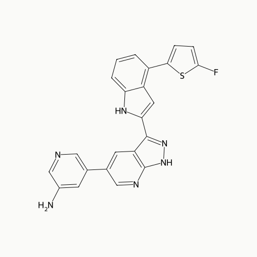 Nc1cncc(-c2cnc3[nH]nc(-c4cc5c(-c6ccc(F)s6)cccc5[nH]4)c3c2)c1